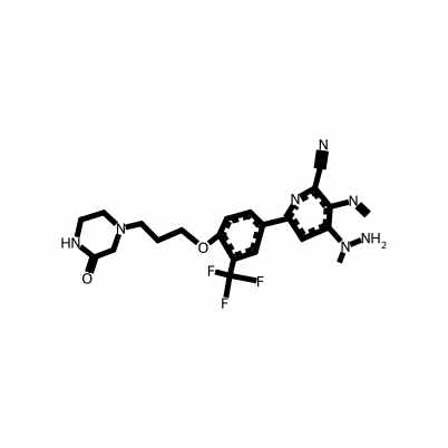 C=Nc1c(N(C)N)cc(-c2ccc(OCCCN3CCNC(=O)C3)c(C(F)(F)F)c2)nc1C#N